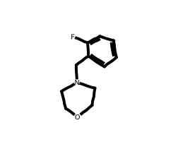 Fc1c[c]ccc1CN1CCOCC1